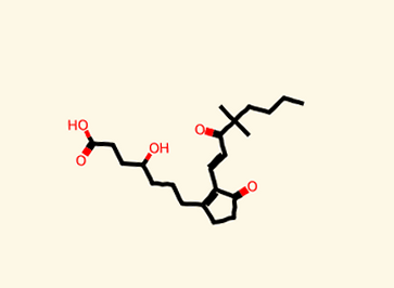 CCCCC(C)(C)C(=O)/C=C/C1=C(CCCC(O)CCC(=O)O)CCC1=O